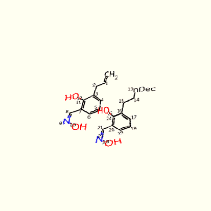 C=CCc1cccc(/C=N\O)c1O.CCCCCCCCCCCCc1cccc(/C=N\O)c1O